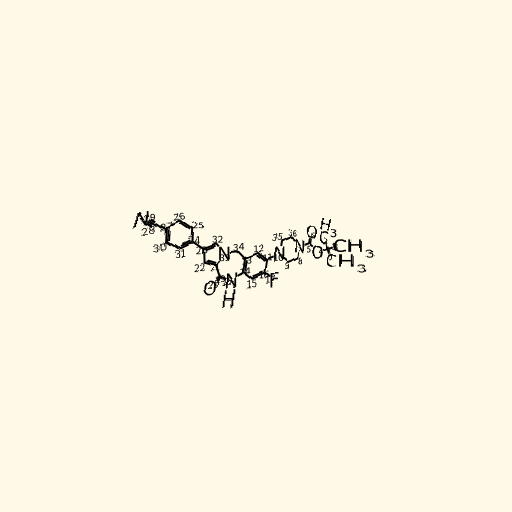 CC(C)(C)OC(=O)N1CCN(c2cc3c(cc2F)NC(=O)c2cc(-c4ccc(C#N)cc4)cn2C3)CC1